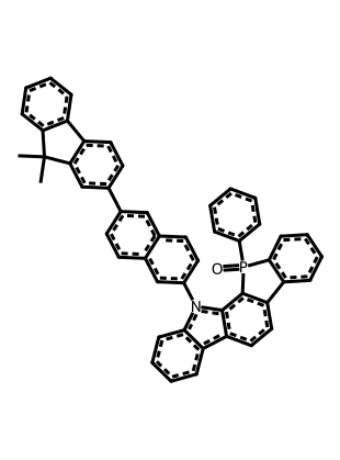 CC1(C)c2ccccc2-c2ccc(-c3ccc4cc(-n5c6ccccc6c6ccc7c(c65)P(=O)(c5ccccc5)c5ccccc5-7)ccc4c3)cc21